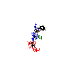 OC[C@H]1O[C@@H](n2cnc3c(N[C@@H](C=S)Cc4n[nH]c(-c5ccccc5)n4)nc(Cl)nc32)[C@H](O)[C@@H]1O